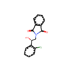 O=C1c2ccccc2C(=O)N1C[C@H](O)c1ccccc1Cl